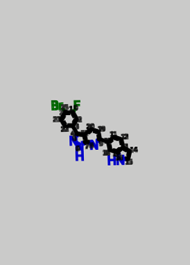 Fc1cc(-c2n[nH]c3nc(-c4ccc5cc[nH]c5c4)ccc23)ccc1Br